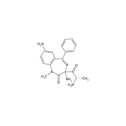 C[C@H](N)C(=O)C1(N)N=C(c2ccccc2)c2cc([N+](=O)[O-])ccc2N(C)C1=O